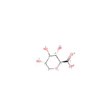 O=C(O)[C@H]1OC[C@H](O)C(O)[C@@H]1O